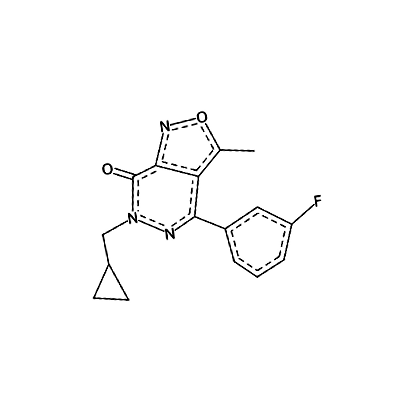 Cc1onc2c(=O)n(CC3CC3)nc(-c3cccc(F)c3)c12